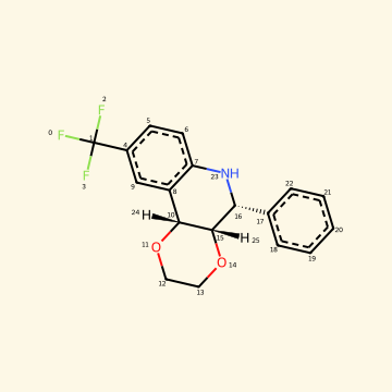 FC(F)(F)c1ccc2c(c1)[C@H]1OCCO[C@H]1[C@@H](c1ccccc1)N2